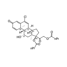 CCCC(=O)OCC(=O)[C@@]1(OC(=O)CCC)CC[C@H]2[C@@H]3C=C(Cl)C4=CC(=O)C=C[C@]4(C)[C@H]3[C@@H](O)C[C@@]21C